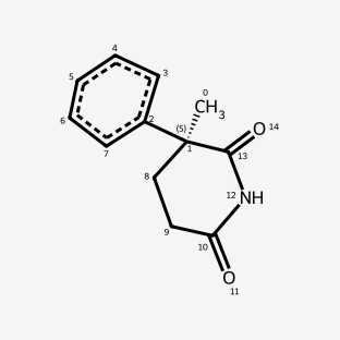 C[C@@]1(c2ccccc2)CCC(=O)NC1=O